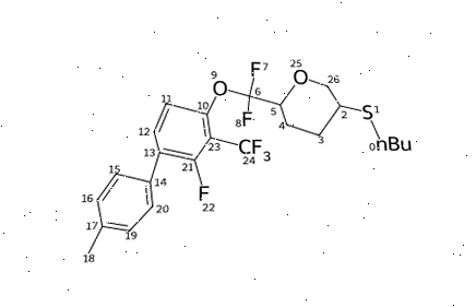 CCCCSC1CCC(C(F)(F)Oc2ccc(-c3ccc(C)cc3)c(F)c2C(F)(F)F)OC1